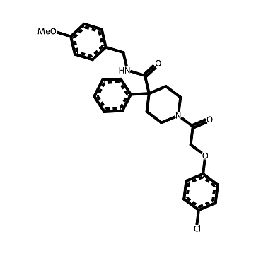 COc1ccc(CNC(=O)C2(c3ccccc3)CCN(C(=O)COc3ccc(Cl)cc3)CC2)cc1